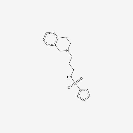 O=S(=O)(NCCCN1CCc2ccccc2C1)c1cccs1